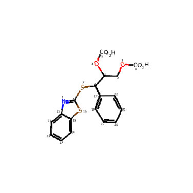 O=C(O)OCC(OC(=O)O)C(Sc1nc2ccccc2s1)c1ccccc1